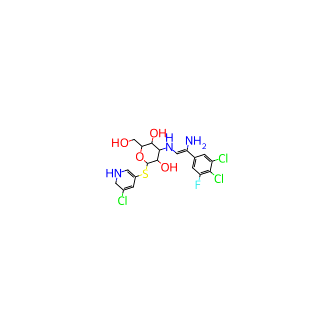 N/C(=C\NC1C(O)C(CO)OC(SC2=CNCC(Cl)=C2)C1O)c1cc(F)c(Cl)c(Cl)c1